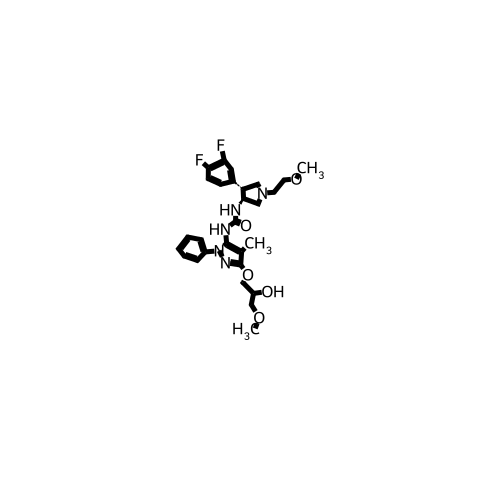 COCCN1C[C@@H](NC(=O)Nc2c(C)c(OCC(O)COC)nn2-c2ccccc2)[C@H](c2ccc(F)c(F)c2)C1